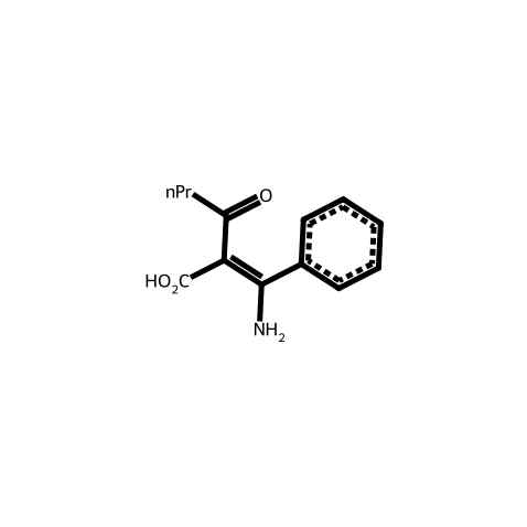 CCCC(=O)C(C(=O)O)=C(N)c1ccccc1